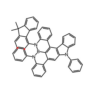 CC1(C)c2ccccc2-c2c(N3B4c5c(cc6c(c5-c5ccccc53)c3ccccc3n6-c3ccccc3)-c3ccccc3N4c3ccccc3)cccc21